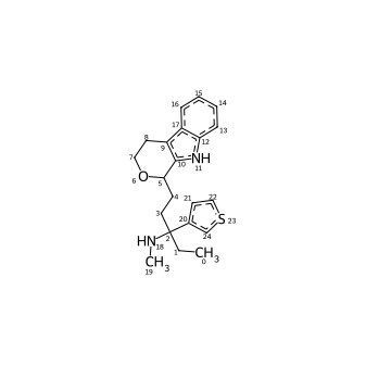 CCC(CCC1OCCc2c1[nH]c1ccccc21)(NC)c1ccsc1